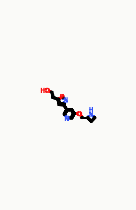 OCCc1cc(-c2cncc(OC[C@@H]3CCN3)c2)no1